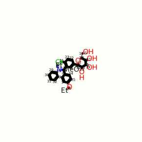 CCOc1ccc(C(c2cc([C@]3(OC)O[C@H](CO)[C@@H](O)[C@H](O)[C@H]3O)ccc2Cl)N(CC)c2ccccc2)cc1